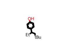 CCC(CC(C)(C)C)c1ccc(O)cc1